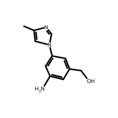 Cc1cn(-c2cc(N)cc(CO)c2)cn1